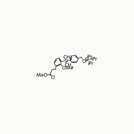 COC(=O)CCc1cccc([Si](C)(C)c2ccc(CO[Si](C(C)C)(C(C)C)C(C)C)cc2)c1OC